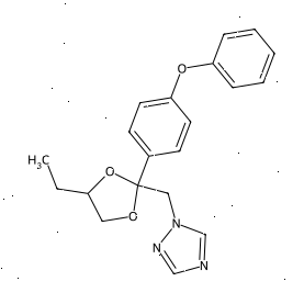 CCC1COC(Cn2cncn2)(c2ccc(Oc3ccccc3)cc2)O1